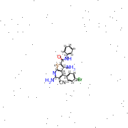 N#Cc1c(N)nc2sc(C(=O)Nc3ccccc3)c(N)c2c1-c1ccc(Br)cc1